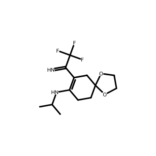 CC(C)NC1=C(C(=N)C(F)(F)F)CC2(CC1)OCCO2